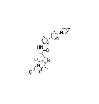 COCCn1c(=O)c2c(ncn2C(C)C(=O)Nc2csc(-c3cnc(N4CC5CC5C4)nc3)n2)n(C)c1=O